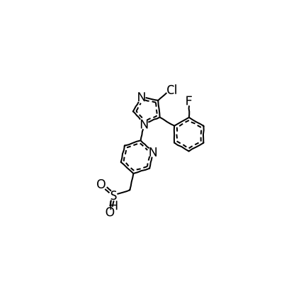 O=[SH](=O)Cc1ccc(-n2cnc(Cl)c2-c2ccccc2F)nc1